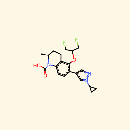 C[C@H]1CCc2c(ccc(-c3cnn(C4CC4)c3)c2OC(CF)CF)N1C(=O)O